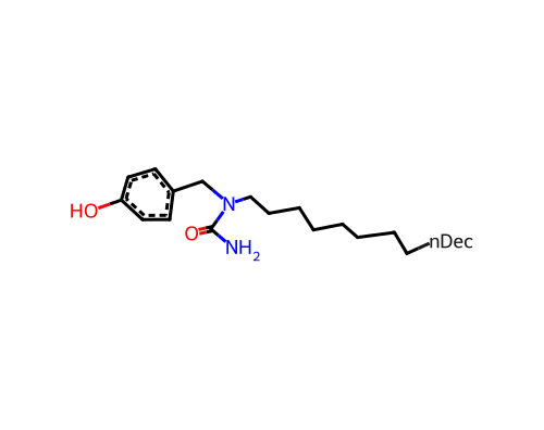 CCCCCCCCCCCCCCCCCCN(Cc1ccc(O)cc1)C(N)=O